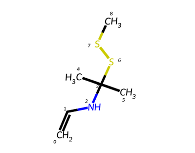 C=CNC(C)(C)SSC